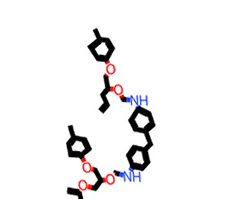 C=CCC(COc1ccc(C)cc1)OCNc1ccc(Cc2ccc(NCOC(COC(=C)C=C)COc3ccc(C)cc3)cc2)cc1